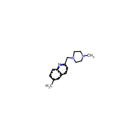 Cc1ccc2nc(CN3CCN(C)CC3)ccc2c1